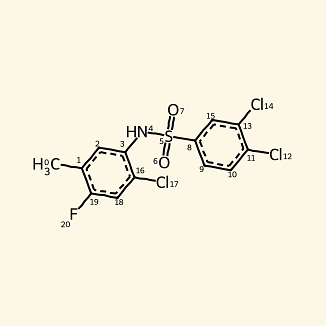 Cc1cc(NS(=O)(=O)c2ccc(Cl)c(Cl)c2)c(Cl)cc1F